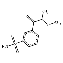 COC(C)C(=O)c1cccc(S(N)(=O)=O)c1